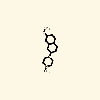 COC1CCC2CCC(N3CCN(C)CC3)CC2C1